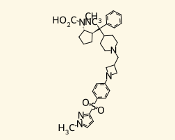 CN(C(=O)O)[C@H]1CCC[C@@H]1C(C#N)(c1ccccc1)C1CCN(CC2CN(c3ccc(S(=O)(=O)c4ccn(C)n4)cc3)C2)CC1